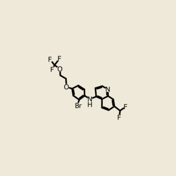 FC(F)c1ccc2c(Nc3ccc(OCCOC(F)(F)F)cc3Br)ccnc2c1